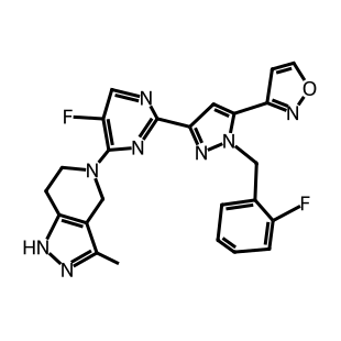 Cc1n[nH]c2c1CN(c1nc(-c3cc(-c4ccon4)n(Cc4ccccc4F)n3)ncc1F)CC2